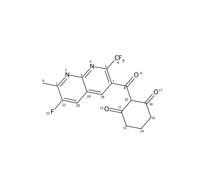 Cc1nc2nc(C(F)(F)F)c(C(=O)C3C(=O)CCCC3=O)cc2cc1F